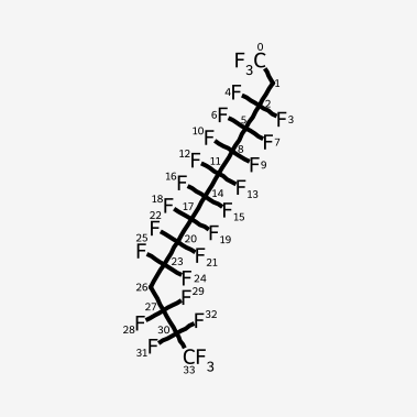 FC(F)(F)CC(F)(F)C(F)(F)C(F)(F)C(F)(F)C(F)(F)C(F)(F)C(F)(F)C(F)(F)CC(F)(F)C(F)(F)C(F)(F)F